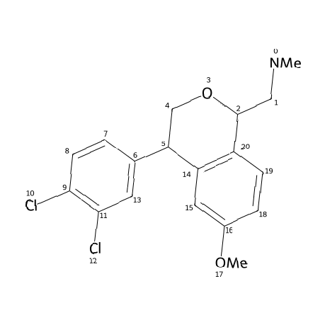 CNCC1OCC(c2ccc(Cl)c(Cl)c2)c2cc(OC)ccc21